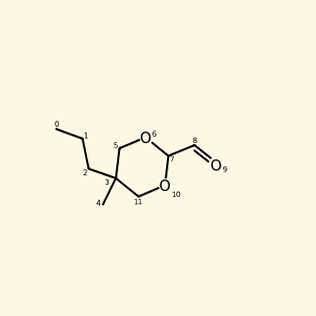 CCCC1(C)COC(C=O)OC1